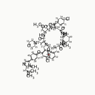 COC[C@@H]1NC(=O)[C@H](CCN2CCOCC2)N(Cc2ccc(Cl)cc2Oc2ccc(-c3cnc(CN(C)C)n3C)cc2)C(=O)C[C@@H](Cc2ccccc2)C(=O)N(C)[C@H]2CCCC[C@@H]2NC(=O)C[C@H](Cc2ccc(Cl)cc2)N(C)C1=O